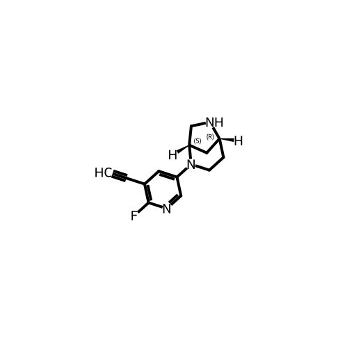 C#Cc1cc(N2CC[C@@H]3C[C@H]2CN3)cnc1F